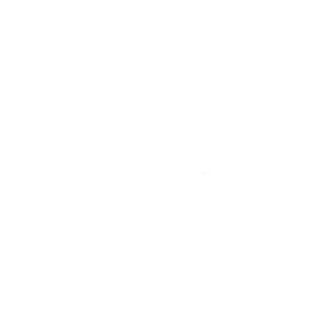 COc1c(F)c(F)c(F)c(Bc2c(F)cc(C)c(F)c2F)c1F